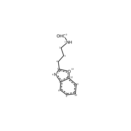 O=CNCCCc1nc2ccccc2o1